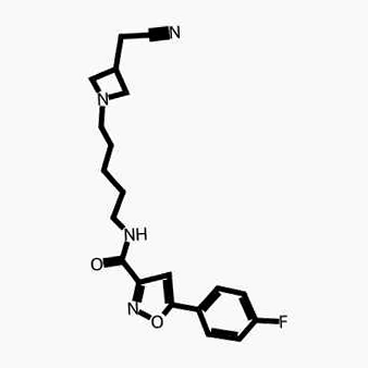 N#CCC1CN(CCCCCNC(=O)c2cc(-c3ccc(F)cc3)on2)C1